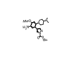 COc1cc(N2CCC(N(C)C)CC2)c(-c2cnn(C(=O)OC(C)(C)C)c2)cc1N